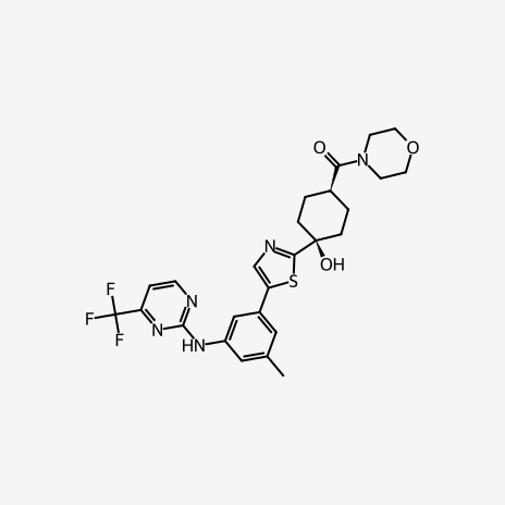 Cc1cc(Nc2nccc(C(F)(F)F)n2)cc(-c2cnc([C@]3(O)CC[C@@H](C(=O)N4CCOCC4)CC3)s2)c1